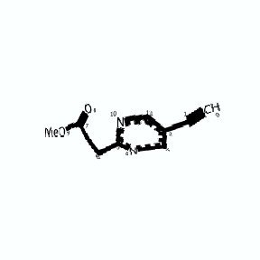 C#Cc1cnc(CC(=O)OC)nc1